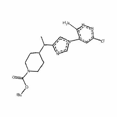 CC(c1cn(-c2cc(Cl)nnc2N)cn1)C1CCN(C(=O)OC(C)(C)C)CC1